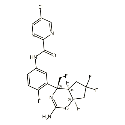 NC1=N[C@](CF)(c2cc(NC(=O)c3ncc(Cl)cn3)ccc2F)[C@H]2CC(F)(F)C[C@H]2O1